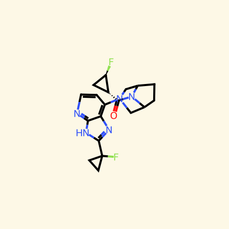 O=C([C@@H]1C[C@H]1F)N1C2CCC1CN(c1ccnc3[nH]c(C4(F)CC4)nc13)C2